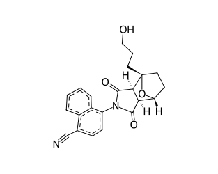 N#Cc1ccc(N2C(=O)[C@H]3[C@@H](C2=O)[C@]2(CCCO)CC[C@H]3O2)c2ccccc12